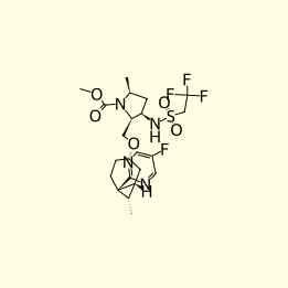 COC(=O)N1[C@H](CO[C@H]2CC[C@]3(c4ncc(F)cn4)[C@H](C2)[C@@H]3C)[C@H](NS(=O)(=O)CC(F)(F)F)C[C@@H]1C